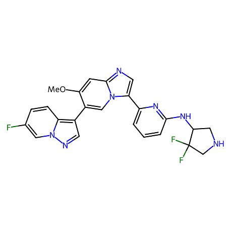 COc1cc2ncc(-c3cccc(NC4CNCC4(F)F)n3)n2cc1-c1cnn2cc(F)ccc12